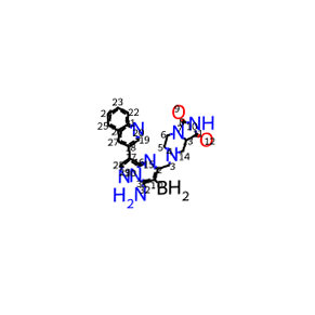 Bc1c(CN2CCN3C(=O)NC(=O)C3C2)nc2c(-c3cnc4ccccc4c3)cnn2c1N